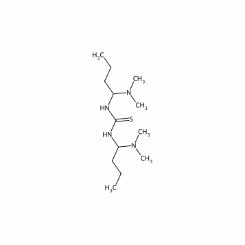 CCCC(NC(=S)NC(CCC)N(C)C)N(C)C